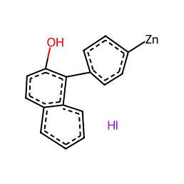 I.Oc1ccc2ccccc2c1-c1cc[c]([Zn])cc1